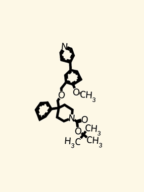 COc1ccc(-c2ccncc2)cc1COCC1(c2ccccc2)CCN(C(=O)OC(C)(C)C)CC1